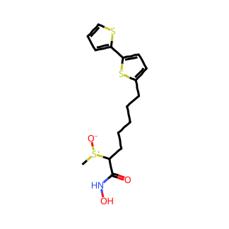 C[S+]([O-])C(CCCCCc1ccc(-c2cccs2)s1)C(=O)NO